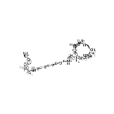 C/C=S(\CCNC(=O)CCOCCOCCOCCOCCOCCOCCOCCOCCNC(=O)O[C@@H]1CCC(C[C@@H](N)[C@@H]2CC(=O)[C@H](C)/C=C(\C)[C@@H](O)[C@@H](O)C(=O)[C@H](C)C[C@H](C)/C=C/C=C/C=C(\C)[C@@H](OC)C[C@@H]3CC[C@@H](C)[C@@](O)(O3)C(=O)C(=O)N3CCCC[C@H]3C(=O)O2)C[C@H]1OC)c1ccc(C(=O)N2CCOc3ccc(-c4ccc(N)nc4)cc3C2)c(C)c1F